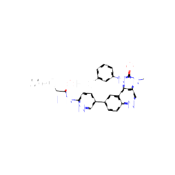 COCC(=O)Nc1ccc(-c2ccc3ncc4c(c3c2)n(-c2cccc(C(F)(F)F)c2)c(=O)n4C)cn1